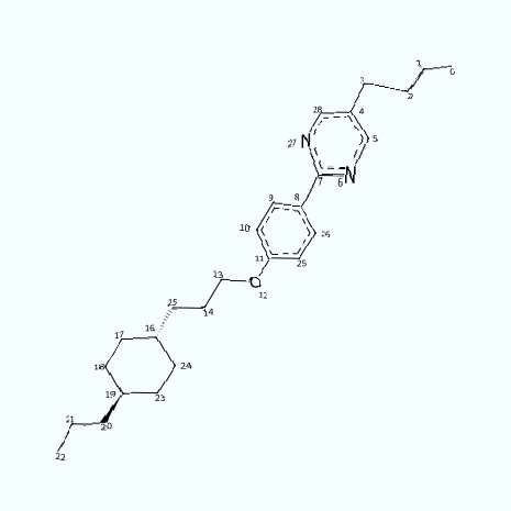 CCCCc1cnc(-c2ccc(OCCC[C@H]3CC[C@H](CCC)CC3)cc2)nc1